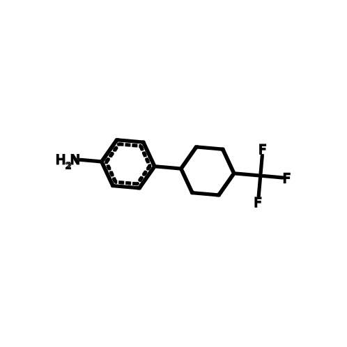 Nc1ccc(C2CCC(C(F)(F)F)CC2)cc1